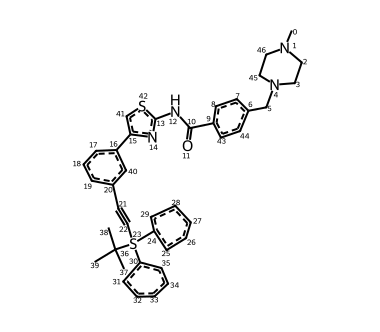 CN1CCN(Cc2ccc(C(=O)Nc3nc(-c4cccc(C#CS(c5ccccc5)(c5ccccc5)C(C)(C)C)c4)cs3)cc2)CC1